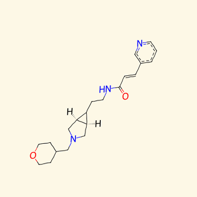 O=C(/C=C/c1cccnc1)NCCC1[C@H]2CN(CC3CCOCC3)C[C@@H]12